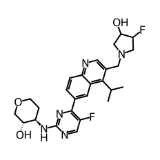 CC(C)c1c(CN2CC(O)C(F)C2)cnc2ccc(-c3nc(N[C@@H]4CCOC[C@H]4O)ncc3F)cc12